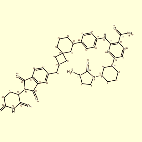 CN1CCN([C@H]2CCCN(c3cnc(C(N)=O)c(Nc4ccc(N5CCCC6(CN(Cc7ccc8c(c7)C(=O)N(C7CCC(=O)NC7=O)C8=O)C6)C5)cc4)n3)C2)C1=O